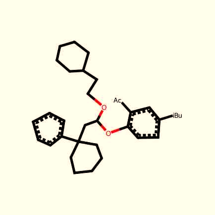 CCC(C)c1ccc(OC(CC2(c3ccccc3)CCCCC2)OCCC2CCCCC2)c(C(C)=O)c1